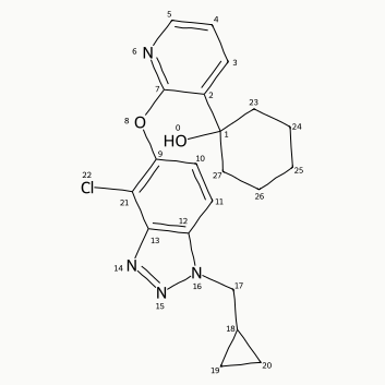 OC1(c2cccnc2Oc2ccc3c(nnn3CC3CC3)c2Cl)CCCCC1